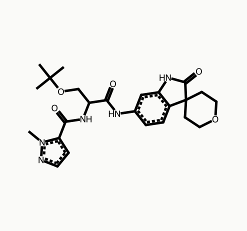 Cn1nccc1C(=O)NC(COC(C)(C)C)C(=O)Nc1ccc2c(c1)NC(=O)C21CCOCC1